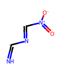 N=[C]N=C[N+](=O)[O-]